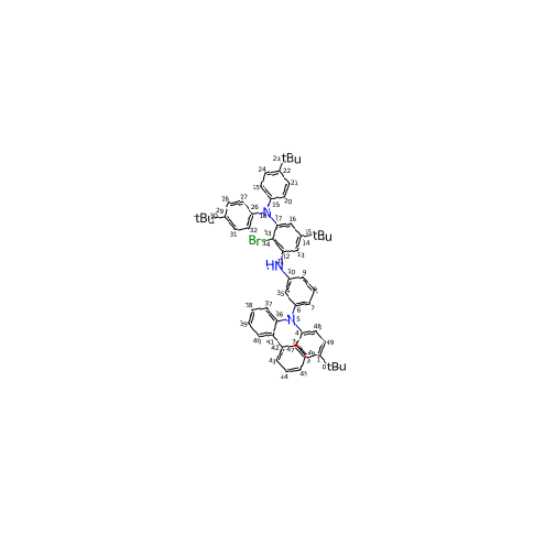 CC(C)(C)c1ccc(N(c2cccc(Nc3cc(C(C)(C)C)cc(N(c4ccc(C(C)(C)C)cc4)c4ccc(C(C)(C)C)cc4)c3Br)c2)c2ccccc2-c2ccccc2)cc1